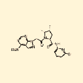 CNc1ncnc2c1cnn2CC(=O)N1[C@H](C)[C@H](C)C[C@H]1C(=O)Nc1cccc(Br)n1